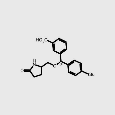 CC(C)(C)c1ccc([C@@H](OCC2CCC(=O)N2)c2cccc(C(=O)O)c2)cc1